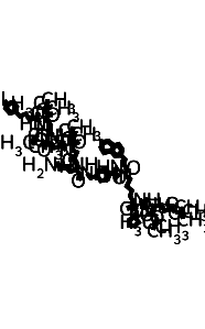 CC(C)(C)OC(=O)CCC(NC(=O)NC(CCCCNC(=O)C(Cc1ccc2ccccc2c1)NC(=O)C1CCC(CNC(=O)C(CCCCN)NC(=O)CC(NC(=O)CC(NC(=O)CC(NC(=O)CCCc2ccc(I)cc2)C(=O)OC(C)(C)C)C(=O)OC(C)(C)C)C(=O)OC(C)(C)C)CC1)C(=O)OC1CCCC1)C(=O)OC(C)(C)C